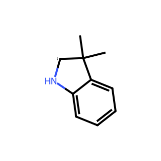 CC1(C)[C]Nc2ccccc21